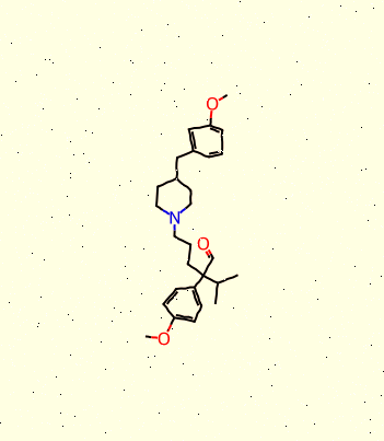 COc1ccc(C(C=O)(CCCN2CCC(Cc3cccc(OC)c3)CC2)C(C)C)cc1